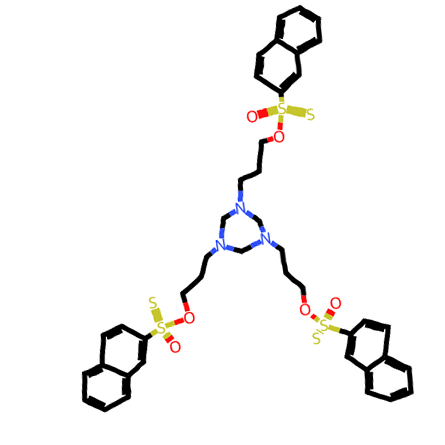 O=S(=S)(OCCCN1CN(CCCOS(=O)(=S)c2ccc3ccccc3c2)CN(CCCOS(=O)(=S)c2ccc3ccccc3c2)C1)c1ccc2ccccc2c1